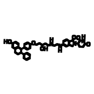 O=C1CCC(N2Cc3cc(NCCNCCC(O)CCOc4ccc([C@@H]5c6ccc(O)cc6CC[C@@H]5c5ccccc5)cc4)ccc3C2=O)C(=O)N1